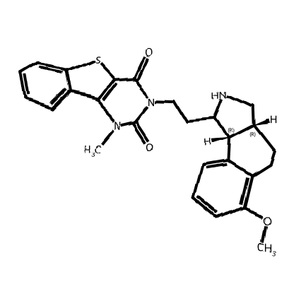 COc1cccc2c1CC[C@H]1CNC(CCn3c(=O)c4sc5ccccc5c4n(C)c3=O)[C@@H]21